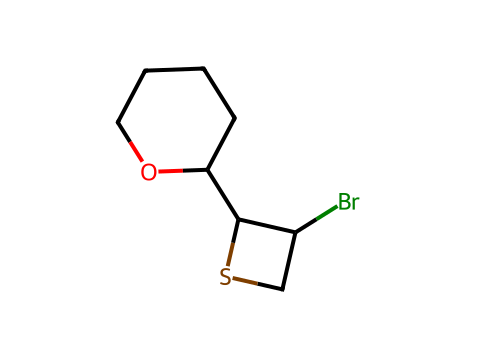 BrC1CSC1C1CCCCO1